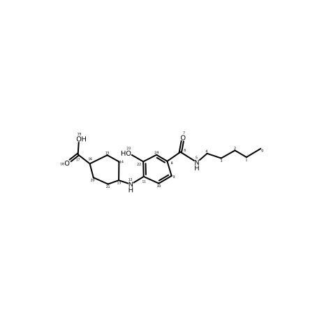 CCCCCNC(=O)c1ccc(NC2CCC(C(=O)O)CC2)c(O)c1